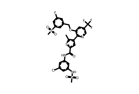 Cc1sc(C(=O)Nc2cc(Cl)cc(NS(C)(=O)=O)c2)cc1-c1ncc(C(F)(F)F)cc1OCc1cc(F)cc(S(C)(=O)=O)c1